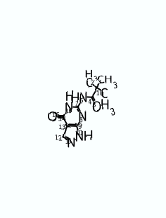 CC(C)(C)C(=O)Nc1nc2[nH]ncc2c(=O)[nH]1